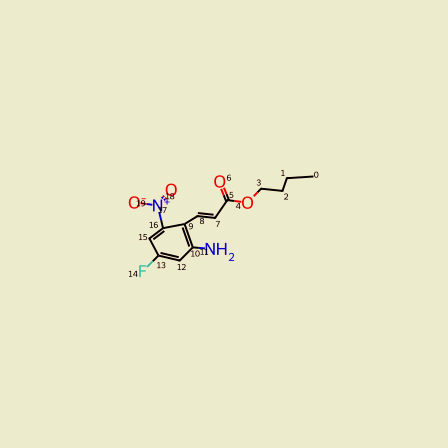 CCCCOC(=O)/C=C/c1c(N)cc(F)cc1[N+](=O)[O-]